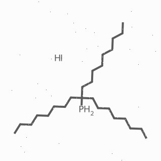 CCCCCCCCCC(P)(CCCCCCCC)CCCCCCCC.I